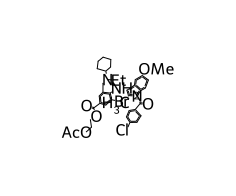 CCN(Cc1cc(C(=O)OCCOC(C)=O)cc(Br)c1N)C1CCCCC1.COc1ccc2c(c1)cc(C)n2C(=O)c1ccc(Cl)cc1